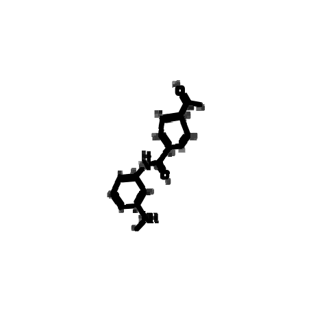 CNc1cccc(NC(=O)c2ccc(C(C)=O)cc2)c1